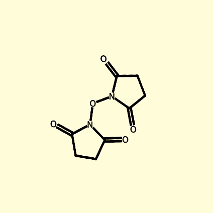 O=C1CCC(=O)N1ON1C(=O)CCC1=O